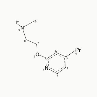 CC(C)c1ccnc(OCCN(C)C)c1